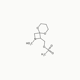 CS(=O)(=O)OCC1N(C(=O)O)CC12OCCCO2